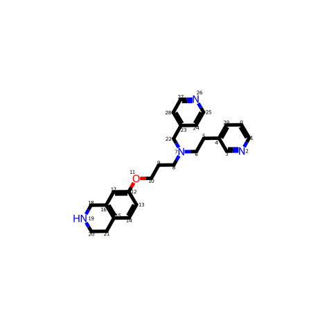 c1cncc(CCN(CCCOc2ccc3c(c2)CNCC3)Cc2ccncc2)c1